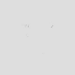 CC1=Cc2cc(C(C)(C)C)cc(-c3c(C([NH])=O)cc4c(Br)c3[Si](C)(C)O[Si]4(C)C)c2C1